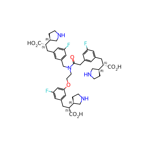 O=C(O)[C@@H](Cc1cc(F)cc(CC(=O)N(CCOc2cc(F)cc(C[C@H](C(=O)O)[C@H]3CCNC3)c2)Cc2cc(F)cc(C[C@H](C(=O)O)[C@H]3CCNC3)c2)c1)[C@H]1CCNC1